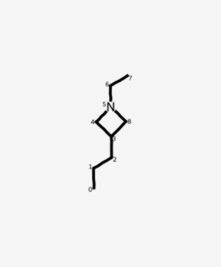 CCCC1CN(CC)C1